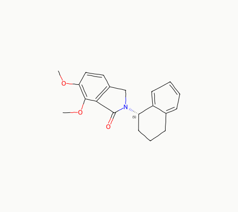 COc1ccc2c(c1OC)C(=O)N([C@H]1CCCc3ccccc31)C2